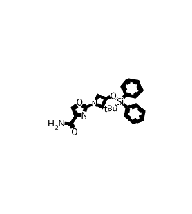 CC(C)(C)[Si](OC1CN(c2nc(C(N)=O)co2)C1)(c1ccccc1)c1ccccc1